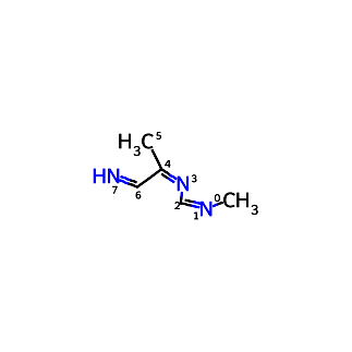 C/N=C\N=C(\C)C=N